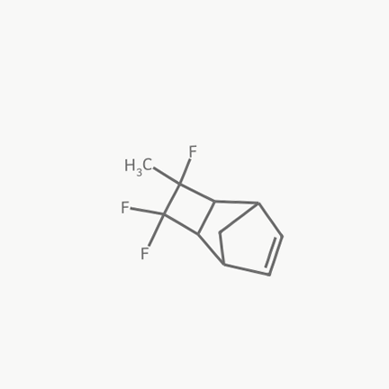 CC1(F)C2C3C=CC(C3)C2C1(F)F